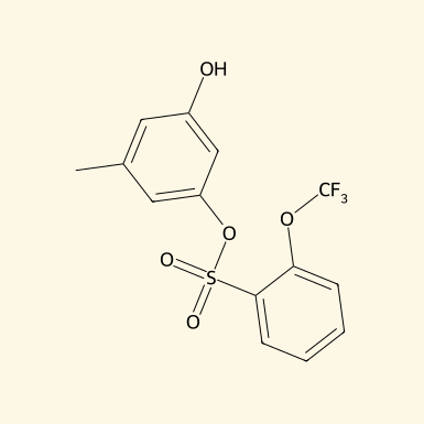 Cc1cc(O)cc(OS(=O)(=O)c2ccccc2OC(F)(F)F)c1